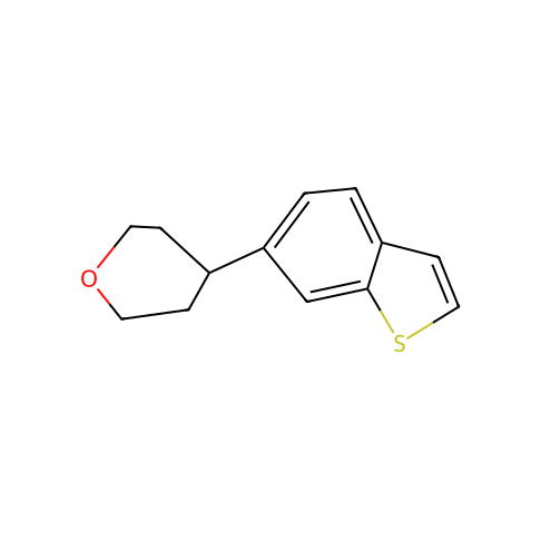 c1cc2ccc(C3CCOCC3)cc2s1